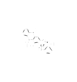 O=C1c2ccccc2C(=O)c2c1cc(NS(=O)(=O)c1c(Cl)cccc1Cl)c(O)c2O